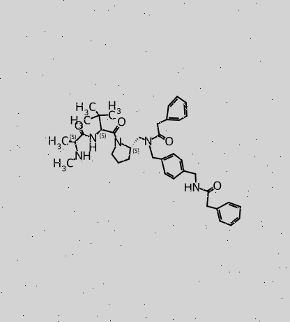 CN[C@@H](C)C(=O)N[C@H](C(=O)N1CCC[C@H]1CN(Cc1ccc(CNC(=O)Cc2ccccc2)cc1)C(=O)Cc1ccccc1)C(C)(C)C